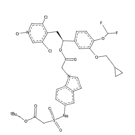 CC(C)(C)OC(=O)CS(=O)(=O)Nc1ccc2c(ccn2CC(=O)O[C@@H](Cc2c(Cl)c[n+]([O-])cc2Cl)c2ccc(OC(F)F)c(OCC3CC3)c2)c1